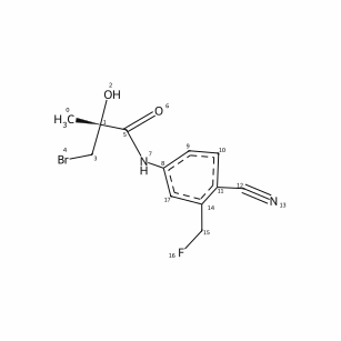 C[C@](O)(CBr)C(=O)Nc1ccc(C#N)c(CF)c1